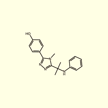 Cn1c(-c2ccc(O)cc2)nnc1C(C)(C)Nc1ccccc1